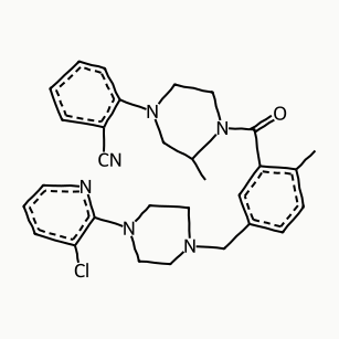 Cc1ccc(CN2CCN(c3ncccc3Cl)CC2)cc1C(=O)N1CCN(c2ccccc2C#N)CC1C